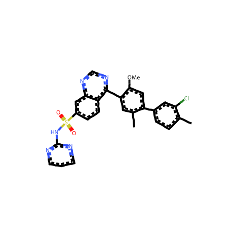 COc1cc(-c2ccc(C)c(Cl)c2)c(C)cc1-c1ncnc2cc(S(=O)(=O)Nc3ncccn3)ccc12